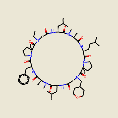 CCN1CC(=O)N[C@@H](CC(C)C)C(=O)N(C)[C@@H](C)C(=O)N[C@@H](CCC(C)C)C(=O)N2CCC[C@@H]2C(=O)N(CC2CCOCC2)CC(=O)NC(CC(C)C)C(=O)N(C)[C@@H](C)C(=O)NC(Cc2ccccc2)C(=O)N2CCC[C@@H]2C1=O